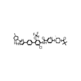 C[C@@H]1CN[C@H](c2nc(-c3ccc(-c4cc(Cl)c(NC(=O)c5ccc(N6CCN(C(=O)C(C)(C)C)C[C@H]6C)nc5)cc4OC(F)(F)F)cc3)c[nH]2)C1